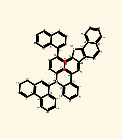 C1=Cc2c(cc(N(c3ccc(-c4cccc5ccccc45)cc3)c3ccccc3-c3ccc4oc5c6ccccc6ccc5c4c3)c3ccccc23)CC1